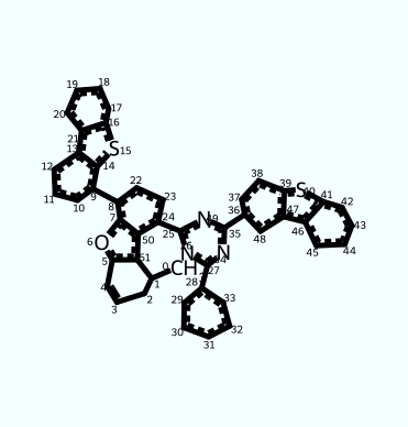 CC1CC=Cc2oc3c(-c4cccc5c4sc4ccccc45)ccc(-c4nc(-c5ccccc5)nc(-c5ccc6sc7ccccc7c6c5)n4)c3c21